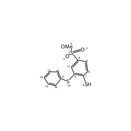 COS(=O)(=O)c1ccc(S)c(Sc2ccccc2)c1